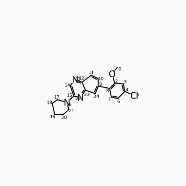 COc1cc(Cl)ccc1-c1ccc2ncc(N3CCCCC3)nc2c1